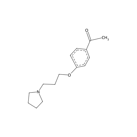 CC(=O)c1ccc(OCCCN2CCCC2)cc1